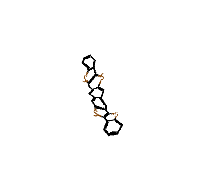 c1ccc2c(c1)sc1c3cc4cc5sc6c7ccccc7sc6c5cc4cc3sc21